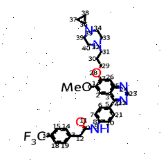 COc1cc2c(-c3ccc(NC(=O)Cc4ccc(C(F)(F)F)cc4)cc3)ncnc2cc1OCCCN1CCN(C2CC2)CC1